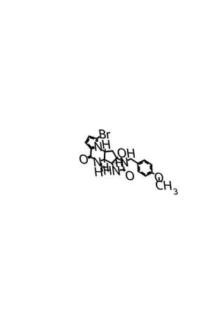 COc1ccc(CN2C(=O)N[C@H]3[C@@H]4NC(=O)c5ccc(Br)n5[C@@H]4C[C@]32O)cc1